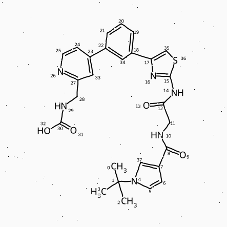 CC(C)(C)n1ccc(C(=O)NCC(=O)Nc2nc(-c3cccc(-c4ccnc(CNC(=O)O)c4)c3)cs2)c1